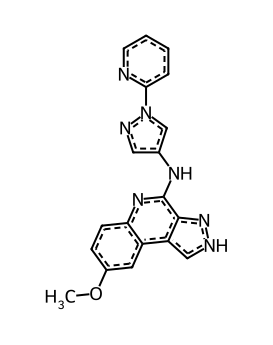 COc1ccc2nc(Nc3cnn(-c4ccccn4)c3)c3n[nH]cc3c2c1